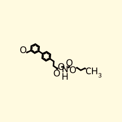 CCCCOC(=O)NOC(=O)CCc1ccc(-c2cccc(C=O)c2)cc1